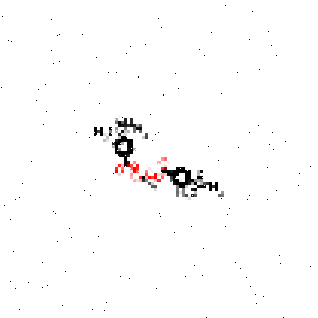 [CH2]C(C)[C](OOC(=O)c1ccc([Si](C)(C)C)cc1)OOC(=O)c1ccc([Si](C)(C)C)cc1